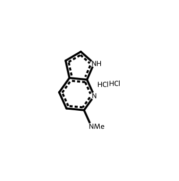 CNc1ccc2cc[nH]c2n1.Cl.Cl